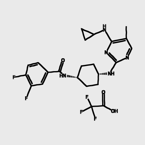 Cc1cnc(N[C@H]2CC[C@@H](NC(=O)c3ccc(F)c(F)c3)CC2)nc1NC1CC1.O=C(O)C(F)(F)F